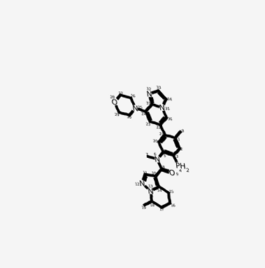 Cc1cc(P)c(N(C)C(=O)c2cnn3c2CCCC3C)cc1-c1cc(N2CCOCC2)c2nccn2c1